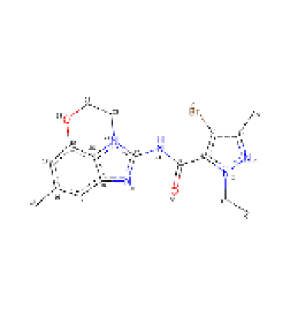 CCn1nc(C)c(Br)c1C(=O)Nc1nc2cc(C)cc3c2n1CCO3